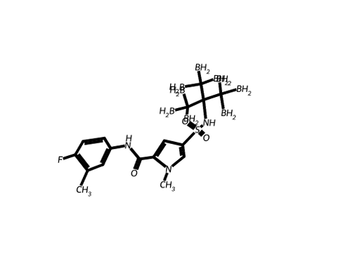 BC(B)(B)C(NS(=O)(=O)c1cc(C(=O)Nc2ccc(F)c(C)c2)n(C)c1)(C(B)(B)B)C(B)(B)B